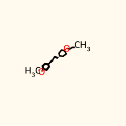 CCCCO[C@H]1CC[C@H](C=CC#Cc2ccc(OC)cc2)CC1